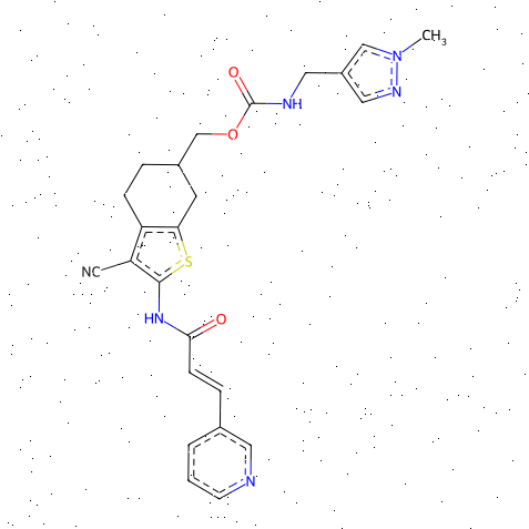 Cn1cc(CNC(=O)OCC2CCc3c(sc(NC(=O)/C=C/c4cccnc4)c3C#N)C2)cn1